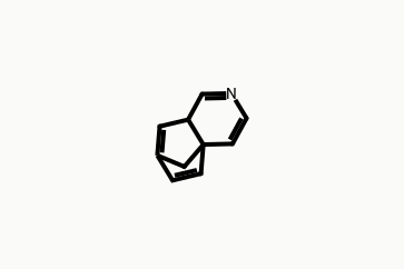 C1=CC23C=CC(=CC2C=N1)C3